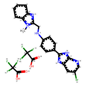 Cn1c(CNc2ccc(-c3nc4cc(Br)cnc4[nH]3)cc2)nc2ccccc21.O=C(O)C(F)(F)F.O=C(O)C(F)(F)F